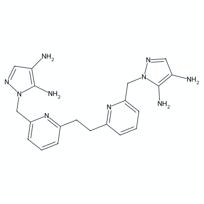 Nc1cnn(Cc2cccc(CCc3cccc(Cn4ncc(N)c4N)n3)n2)c1N